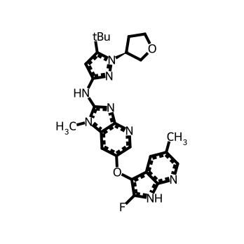 Cc1cnc2[nH]c(F)c(Oc3cnc4nc(Nc5cc(C(C)(C)C)n([C@H]6CCOC6)n5)n(C)c4c3)c2c1